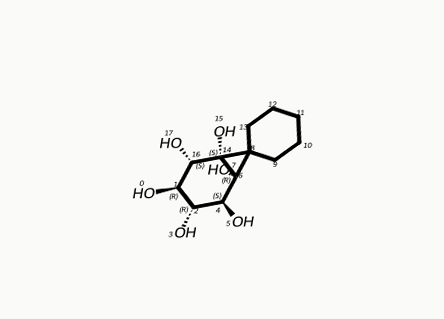 O[C@@H]1[C@@H](O)[C@H](O)[C@]2(O)C3(CCCCC3)[C@]2(O)[C@H]1O